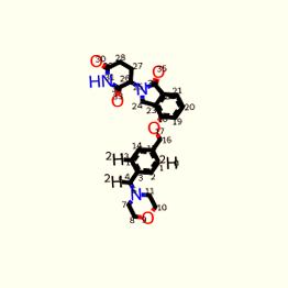 [2H]c1cc(C([2H])N2CCOCC2)c([2H])cc1COc1cccc2c1CN(C1CCC(=O)NC1=O)C2=O